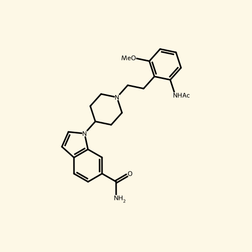 COc1cccc(NC(C)=O)c1CCN1CCC(n2ccc3ccc(C(N)=O)cc32)CC1